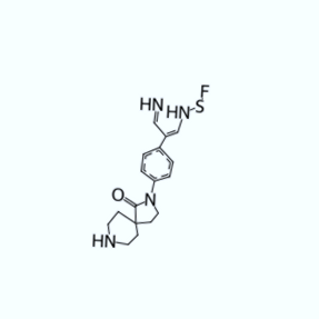 N=C/C(=C\NSF)c1ccc(N2CCC3(CCNCC3)C2=O)cc1